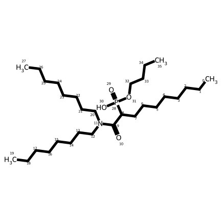 CCCCCCCCC(C(=O)N(CCCCCCCC)CCCCCCCC)P(=O)(O)OCCCC